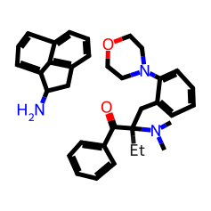 CCC(Cc1ccccc1N1CCOCC1)(C(=O)c1ccccc1)N(C)C.NC1Cc2cccc3cccc1c23